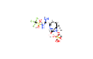 N=C(NS(=O)(=O)C(F)(F)F)[C@@H]1CC[C@@H]2CN1C(=O)N2OS(=O)(=O)O